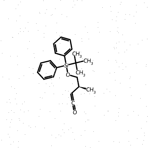 C[C@@H](C=C=O)CO[Si](c1ccccc1)(c1ccccc1)C(C)(C)C